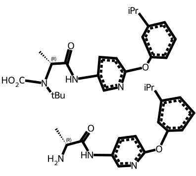 CC(C)c1cccc(Oc2ccc(NC(=O)[C@@H](C)N(C(=O)O)C(C)(C)C)cn2)c1.CC(C)c1cccc(Oc2ccc(NC(=O)[C@@H](C)N)cn2)c1